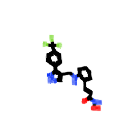 O=C(C=Cc1ccccc1NCc1c[nH]nc1-c1ccc(C(F)(F)F)cc1)NO